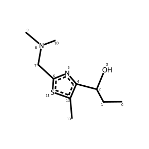 CCC(O)c1nc(CN(C)C)sc1C